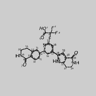 O=C(O)C(F)(F)F.O=C1NCCc2cc(-c3cc(-c4cc5c([nH]4)CCNC5=O)ccn3)ccc21